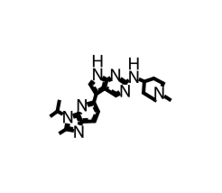 Cc1nc2ccc(-c3c[nH]c4nc(NC5CCN(C)CC5)ncc34)nc2n1C(C)C